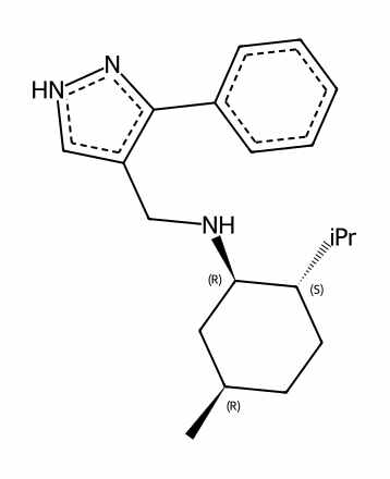 CC(C)[C@@H]1CC[C@@H](C)C[C@H]1NCc1c[nH]nc1-c1ccccc1